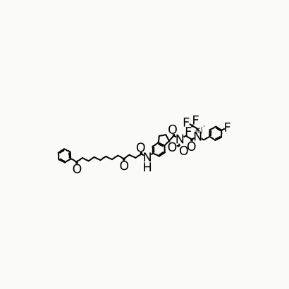 C[C@H](N(Cc1ccc(F)cc1)C(=O)CN1C(=O)OC2(CCc3cc(NC(=O)CCC(=O)CCCCCCCC(=O)c4ccccc4)ccc32)C1=O)C(F)(F)F